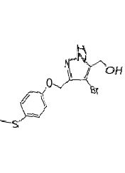 CSc1ccc(OCc2n[nH]c(CO)c2Br)cc1